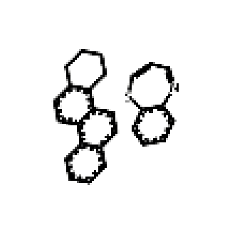 C1=CSc2ccccc2N=C1.c1ccc2c(c1)ccc1c3c(ccc12)CCCC3